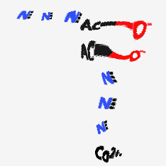 CC(=O)[O-].CC(=O)[O-].[Co+2].[N].[N].[N].[N].[N].[N]